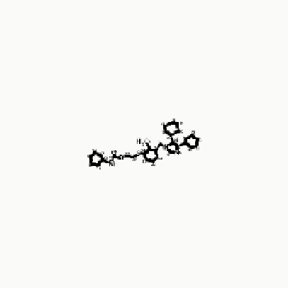 Cc1c(Cn2cnc(-c3ccccc3)c2-c2ccccc2)cccc1SCCOC(=O)Nc1ccccc1